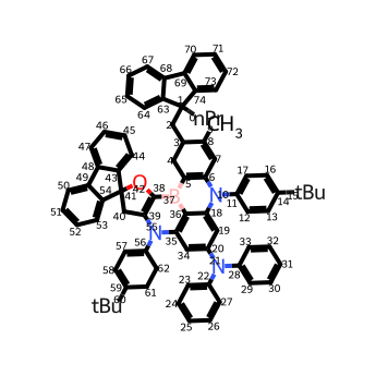 CCCC1(CC2CC3=C(C=C2C)N(c2ccc(C(C)(C)C)cc2)c2cc(N(c4ccccc4)c4ccccc4)cc4c2B3C2=C(CC3(O2)c2ccccc2-c2ccccc23)N4C2=CC=C(C(C)(C)C)CC2)c2ccccc2-c2ccccc21